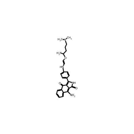 CN(C)CCCC(N)O/C=C/Nc1ccc(C2=C3C(=O)c4ccccc4C(N)=C3C(=O)N2)cc1